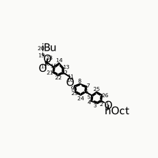 CCCCCCCCOc1ccc(-c2ccc(OCc3ccc(C(=O)OC[C@@H](C)CC)cc3)cc2)cc1